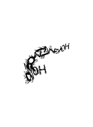 OCCOCCN1CCN(C2CCc3nn(-c4ccccn4)c(O)c3C2)CC1